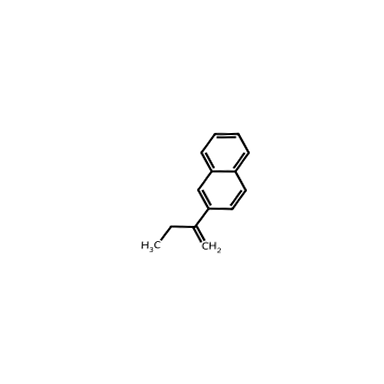 C=C(CC)c1ccc2ccccc2c1